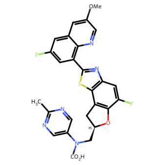 COc1cnc2c(-c3nc4cc(F)c5c(c4s3)C[C@H](CN(C(=O)O)c3cnc(C)nc3)O5)cc(F)cc2c1